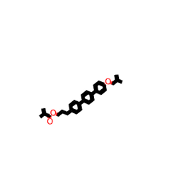 C=C(C)COc1ccc(-c2ccc(-c3ccc(CCCOC(=O)C(=C)C)cc3)cc2)cc1